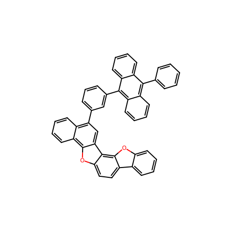 c1ccc(-c2c3ccccc3c(-c3cccc(-c4cc5c(oc6ccc7c8ccccc8oc7c65)c5ccccc45)c3)c3ccccc23)cc1